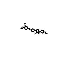 CCCC1=CCC(C2=CCC(C3C=CC(CCC4C=C(F)C(OCC)CC4)=CC3)C(F)=C2F)C=C1